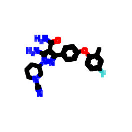 Cc1cc(F)ccc1Oc1ccc(-c2nn([C@@H]3CCCN(C#N)C3)c(N)c2C(N)=O)cc1